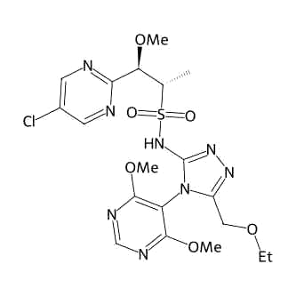 CCOCc1nnc(NS(=O)(=O)[C@@H](C)[C@H](OC)c2ncc(Cl)cn2)n1-c1c(OC)ncnc1OC